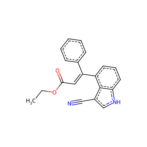 CCOC(=O)/C=C(\c1ccccc1)c1cccc2[nH]cc(C#N)c12